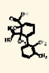 Cc1cccc(C2=CC=CC(C)(C(=O)O)C2(C)C(=O)O)c1C